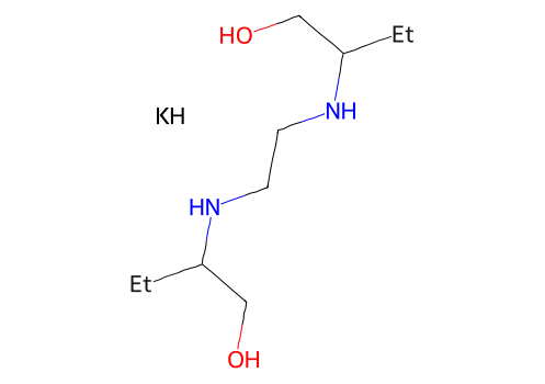 CCC(CO)NCCNC(CC)CO.[KH]